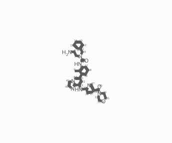 Cc1c(NC(=O)N(CCN)Cc2ccccc2)cccc1-c1cc(Nc2ccc(C(=O)N3CCOCC3)cn2)c2nccn2c1